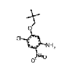 CC(C)(C)COc1cc(N)c([N+](=O)[O-])cc1Cl